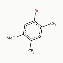 COc1cc(Br)c(C(F)(F)F)cc1C(F)(F)F